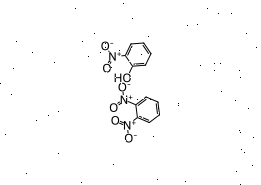 O=[N+]([O-])c1ccccc1O.O=[N+]([O-])c1ccccc1[N+](=O)[O-]